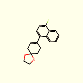 Fc1ccc(C2=CCC3(CC2)OCCO3)c2ccccc12